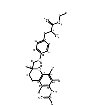 CCOC(=O)C(Cl)Cc1ccc(OCC2(C)CCc3c(C)c(OC(C)=O)c(C)c(C)c3O2)cc1